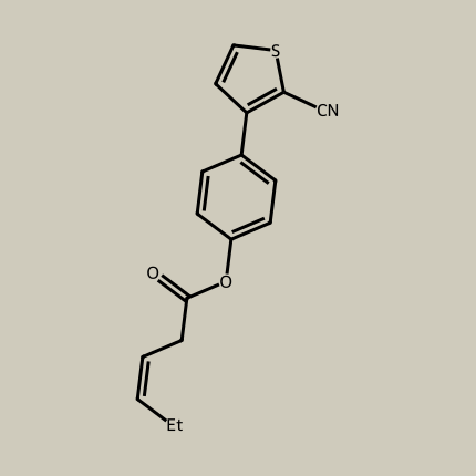 CC/C=C\CC(=O)Oc1ccc(-c2ccsc2C#N)cc1